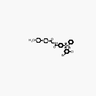 CN1CCC(N2CCN(C(=O)CNC(=O)c3ccc(S(=O)(=O)N(Oc4ccc(Br)cc4Cl)c4ccccc4)cc3)CC2)CC1